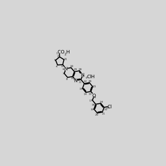 Cl.O=C(O)C1CCC(N2CCc3nc(-c4ccc(OCc5cccc(Cl)c5)cc4)ncc3C2)C1